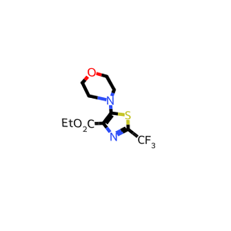 CCOC(=O)c1nc(C(F)(F)F)sc1N1CCOCC1